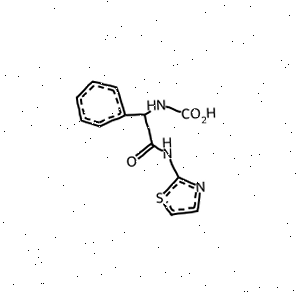 O=C(O)NC(C(=O)Nc1nccs1)c1ccccc1